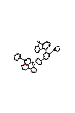 CC1(C)c2ccccc2-c2c(-c3cc(-c4ccc(N(c5ccc(-c6ccccc6)cc5)c5ccccc5-c5ccccc5)cc4)ccc3-c3ccccc3)cccc21